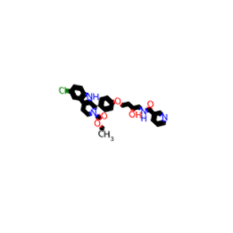 CCOC(=O)N1CCc2c([nH]c3ccc(Cl)cc23)[C@@H]1c1ccc(OCCC(O)CNC(=O)c2cccnc2)cc1